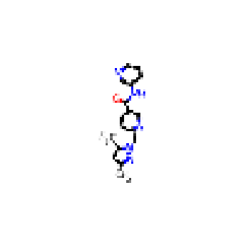 O=C(Nc1cccnc1)c1ccc(Cn2nc(C(F)(F)F)cc2C(F)(F)F)nc1